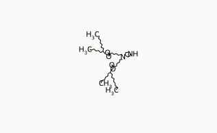 CCCCCCCCC(CCCCCC)COC(=O)CCCCCN(CCCCCC(=O)OCC(CCCCCC)CCCCCCCC)C1CCNCC1